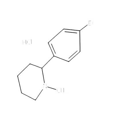 CCc1ccc(C2CCCCN2C)cc1.Cl